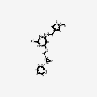 CCc1nc(NCc2cnn(C)c2)cc(OC[C@H]2C[C@@H]2c2ccccn2)n1